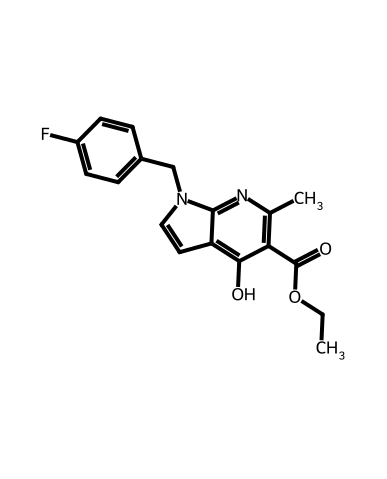 CCOC(=O)c1c(C)nc2c(ccn2Cc2ccc(F)cc2)c1O